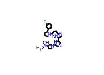 CN(C)C1CCN(c2cncc(-c3cnc4ccc(N5CCCC5c5cccc(F)c5)nn34)n2)C1